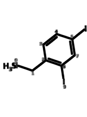 [SiH3]Cc1ccc(I)cc1I